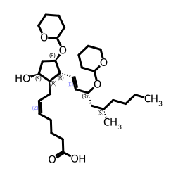 CCCC[C@H](C)C[C@H](/C=C/[C@@H]1[C@@H](C/C=C\CCCC(=O)O)[C@@H](O)C[C@H]1OC1CCCCO1)OC1CCCCO1